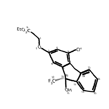 CCOC(=O)COc1cc(Cl)c2c(c1)[C@@](O)(C(F)(F)F)c1ccccc1-2